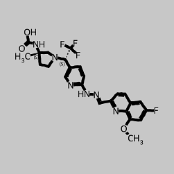 COc1cc(F)cc2ccc(C=NNc3ccc([C@H](N4CC[C@](C)(NC(=O)O)C4)C(F)(F)F)cn3)nc12